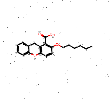 CCCCCCOc1ccc2c(c1C(=O)O)Cc1ccccc1O2